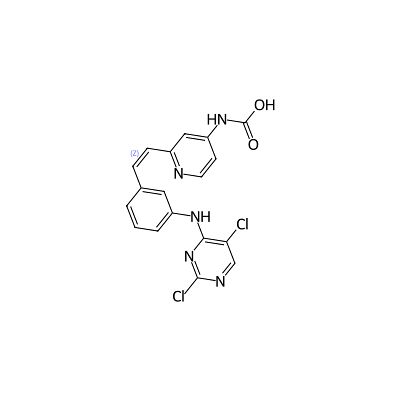 O=C(O)Nc1ccnc(/C=C\c2cccc(Nc3nc(Cl)ncc3Cl)c2)c1